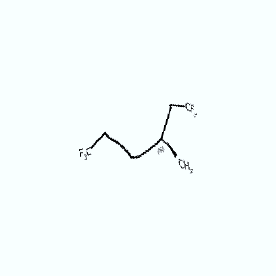 C[C@@H](CCC(F)(F)F)CC(F)(F)F